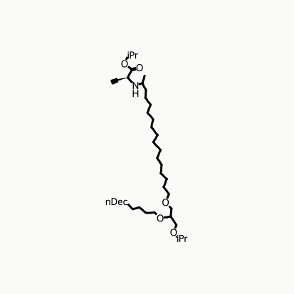 C#C[C@H](NC(C)CCCCCCCCCCCCCCCOCC(COC(C)C)OCCCCCCCCCCCCCC)C(=O)OC(C)C